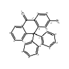 O=C1c2ccccc2C(c2ccccc2)(c2ccccc2)c2cc(Br)ccc21